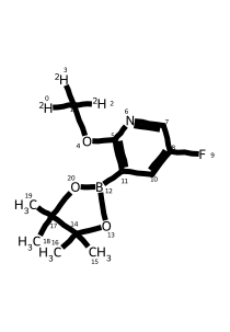 [2H]C([2H])([2H])Oc1ncc(F)cc1B1OC(C)(C)C(C)(C)O1